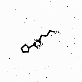 CCCCc1nc(C2CCCC2)no1